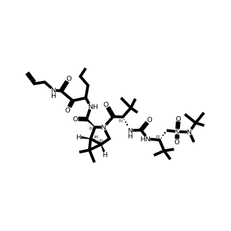 C=CCNC(=O)C(=O)C(CCC)NC(=O)[C@@H]1[C@@H]2[C@H](CN1C(=O)[C@@H](NC(=O)N[C@H](CS(=O)(=O)N(C)C(C)(C)C)C(C)(C)C)C(C)(C)C)C2(C)C